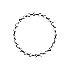 C1CSCCSCCSCCSCCSCCSCCSCCS1